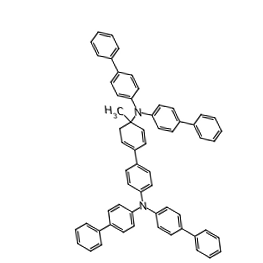 CC1(N(c2ccc(-c3ccccc3)cc2)c2ccc(-c3ccccc3)cc2)C=CC(c2ccc(N(c3ccc(-c4ccccc4)cc3)c3ccc(-c4ccccc4)cc3)cc2)=CC1